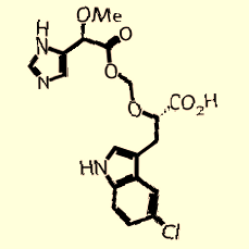 CO[C@@H](C(=O)OCO[C@@H](Cc1c[nH]c2ccc(Cl)cc12)C(=O)O)c1cnc[nH]1